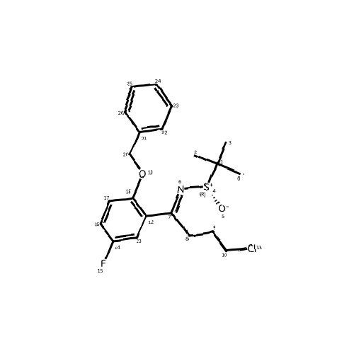 [CH2]C(C)(C)[S@+]([O-])N=C(CCCCl)c1cc(F)ccc1OCc1ccccc1